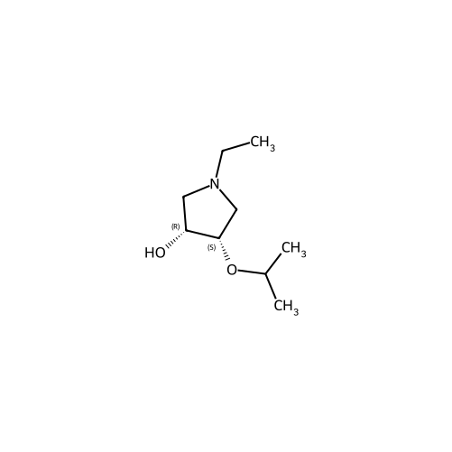 CCN1C[C@@H](O)[C@@H](OC(C)C)C1